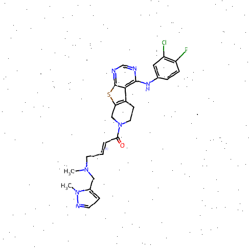 CN(C/C=C/C(=O)N1CCc2c(sc3ncnc(Nc4ccc(F)c(Cl)c4)c23)C1)Cc1ccnn1C